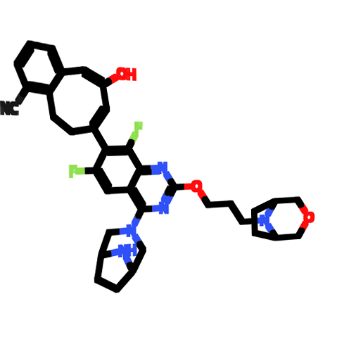 N#Cc1cccc2c1CC/C(c1c(F)cc3c(N4CC5CCC(C4)N5)nc(OCCCN4C5CCC4COC5)nc3c1F)=C\C(O)=C/2